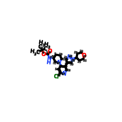 CC(C)(C)OC(=O)N[C@H]1CCCN(c2cc(Cl)ncc2-c2cnn(C3CCOCC3)c2)C1